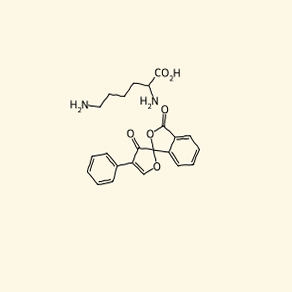 NCCCCC(N)C(=O)O.O=C1OC2(OC=C(c3ccccc3)C2=O)c2ccccc21